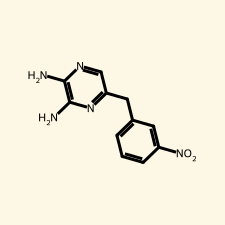 Nc1ncc(Cc2cccc([N+](=O)[O-])c2)nc1N